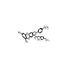 COc1ccc(COc2cnc(Oc3c(Cl)cc(Br)cc3Cl)cc2S(=O)(=O)N(C)Cc2ccc(OC)cc2)cc1